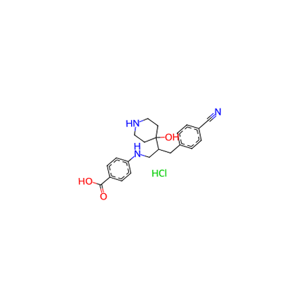 Cl.N#Cc1ccc(CC(CNc2ccc(C(=O)O)cc2)C2(O)CCNCC2)cc1